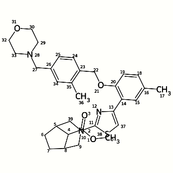 COC(=O)C1C2CCC1CN(c1nc(-c3cc(C)ccc3OCc3ccc(CN4CCOCC4)cc3C)cs1)C2